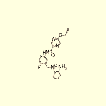 C#CCOc1cnc(C(=O)Nc2ccc(F)c(CNc3cccnc3N)c2)cn1